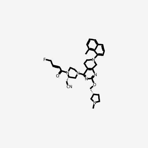 Cc1cccc2cccc(N3CCc4c(nc(OC[C@@H]5CCN(C)C5)nc4N4CCN(C(=O)/C=C/CF)[C@@H](CC#N)C4)C3)c12